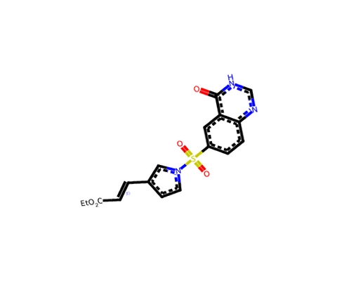 CCOC(=O)/C=C/c1ccn(S(=O)(=O)c2ccc3nc[nH]c(=O)c3c2)c1